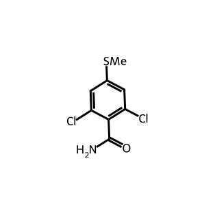 CSc1cc(Cl)c(C(N)=O)c(Cl)c1